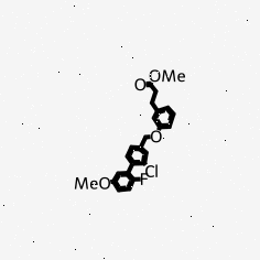 COC(=O)CCc1cccc(OCc2ccc(-c3cc(OC)ccc3F)c(Cl)c2)c1